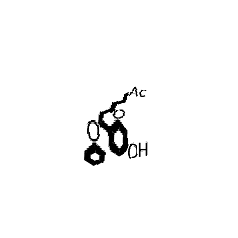 CC(=O)CCCC(=O)CC(Oc1ccccc1)c1ccc(O)cc1